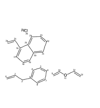 C=CCc1ccccc1.C=COC=C.C=Cc1cccc2ccccc12.Cl